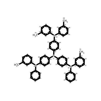 Cc1cccc(N(c2ccccc2)c2ccc(N(c3ccc(N(c4ccccc4)c4cccc(C)c4)cc3)c3ccc(N(c4cccc(C)c4)c4cccc(C)c4)cc3)cc2)c1